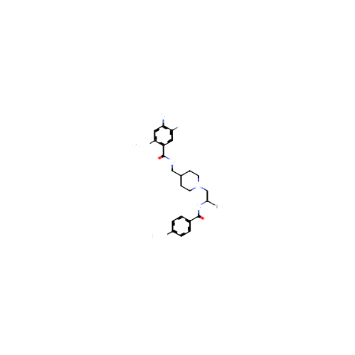 COc1cc(N)c(Cl)cc1C(=O)NCC1CCN(CC(NC(=O)c2ccc(C)cc2)C(C)C)CC1